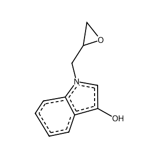 Oc1cn(CC2CO2)c2ccccc12